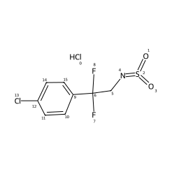 Cl.O=S(=O)=NCC(F)(F)c1ccc(Cl)cc1